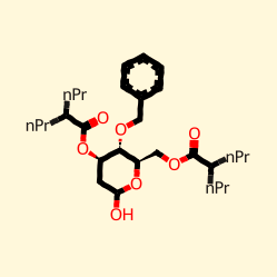 CCCC(CCC)C(=O)OC[C@H]1OC(O)C[C@@H](OC(=O)C(CCC)CCC)[C@@H]1OCc1ccccc1